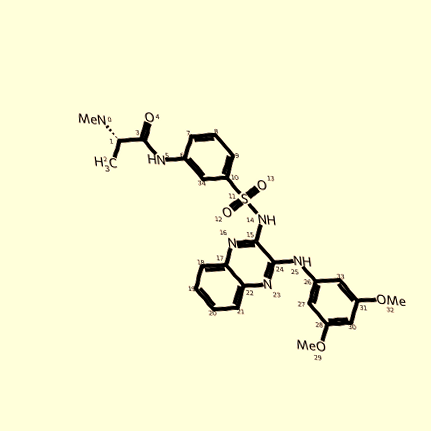 CN[C@@H](C)C(=O)Nc1cccc(S(=O)(=O)Nc2nc3ccccc3nc2Nc2cc(OC)cc(OC)c2)c1